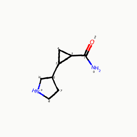 NC(=O)C1CC1C1CCNC1